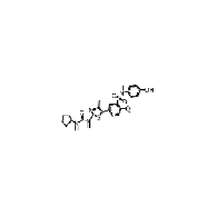 COc1ccc(-c2sc(NC(=O)NC3CCCC3)nc2C)cc1S(=O)(=O)Nc1ccc(O)cc1